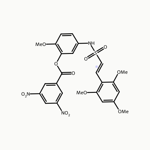 COc1cc(OC)c(/C=C/S(=O)(=O)Nc2ccc(OC)c(OC(=O)c3cc([N+](=O)[O-])cc([N+](=O)[O-])c3)c2)c(OC)c1